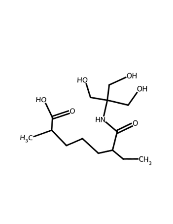 CCC(CCCC(C)C(=O)O)C(=O)NC(CO)(CO)CO